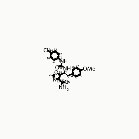 COc1ccc(C[C@H](NC(=O)Nc2ccc(Cl)cc2)c2ocnc2C(N)=O)cc1